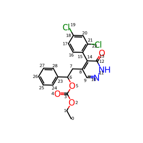 CCOC(=O)OC(Cc1cn[nH]c(=O)c1-c1ccc(Cl)cc1Cl)c1ccccc1